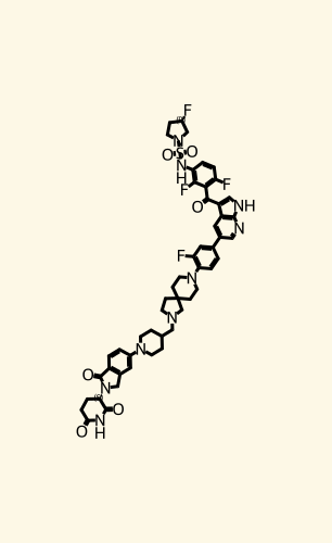 O=C1CC[C@H](N2Cc3cc(N4CCC(CN5CCC6(CCN(c7ccc(-c8cnc9[nH]cc(C(=O)c%10c(F)ccc(NS(=O)(=O)N%11CC[C@@H](F)C%11)c%10F)c9c8)cc7F)CC6)C5)CC4)ccc3C2=O)C(=O)N1